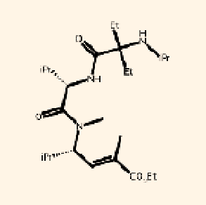 CCOC(=O)/C(C)=C/[C@H](C(C)C)N(C)C(=O)[C@@H](NC(=O)C(CC)(CC)NC(C)C)C(C)C